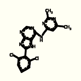 Cc1cc(Nc2ncnc3nc(-c4c(Cl)cccc4Cl)[nH]c23)nc(C)n1